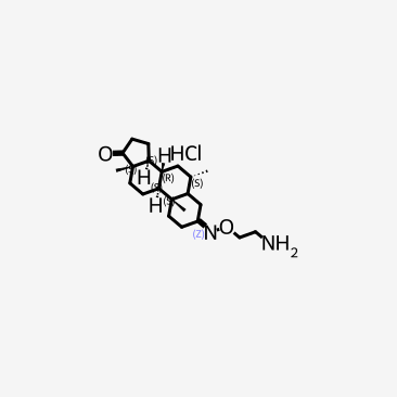 C[C@H]1C[C@@H]2[C@H](CC[C@]3(C)C(=O)CC[C@@H]23)[C@@]2(C)CC/C(=N/OCCN)CC12.Cl